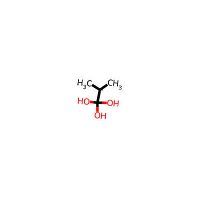 C[C](C)C(O)(O)O